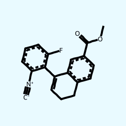 [C-]#[N+]c1cccc(F)c1C1=CCCc2ccc(C(=O)OC)cc21